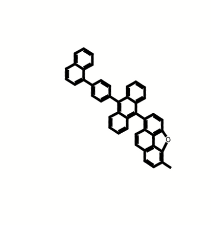 Cc1ccc2ccc3c(-c4c5ccccc5c(-c5ccc(-c6cccc7ccccc67)cc5)c5ccccc45)ccc4oc1c2c43